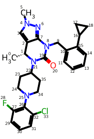 C[C@@H]1c2cn(C)nc2N(Cc2ccccc2C2CC2)C(=O)N1C1CCN(c2c(F)cccc2Cl)CC1